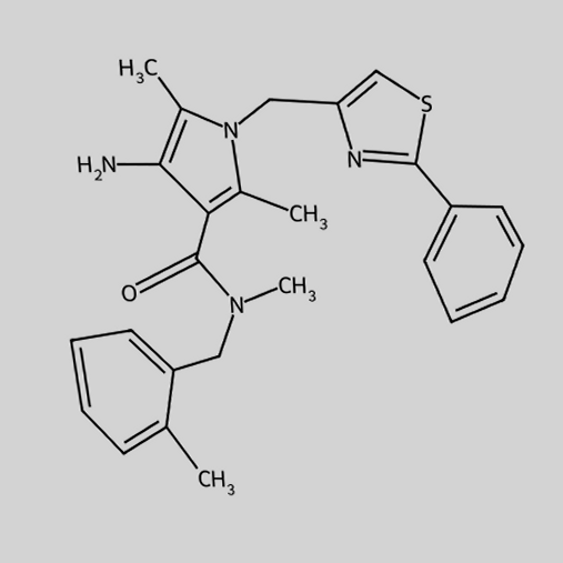 Cc1ccccc1CN(C)C(=O)c1c(N)c(C)n(Cc2csc(-c3ccccc3)n2)c1C